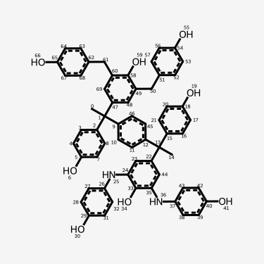 CC(c1ccc(O)cc1)(c1ccc(C(C)(c2ccc(O)cc2)c2cc(Nc3ccc(O)cc3)c(O)c(Nc3ccc(O)cc3)c2)cc1)c1cc(Cc2ccc(O)cc2)c(O)c(Cc2ccc(O)cc2)c1